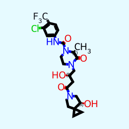 C[C@H]1C(=O)N(C[C@H](O)CC(=O)N2CCC3(CC3)[C@H](O)C2)CCN1C(=O)Nc1ccc(C(F)(F)F)c(Cl)c1